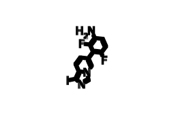 Nc1ccc(F)c(-c2ccc3c(I)ncn3c2)c1F